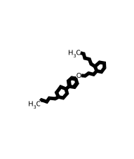 CCCCCC1CCC(c2ccc(OCCCC3CCCCC3CCCCC)cc2)CC1